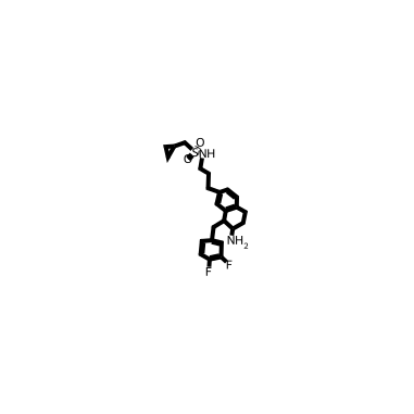 NC1CCc2ccc(CCCNS(=O)(=O)CC3CC3)cc2C1Cc1ccc(F)c(F)c1